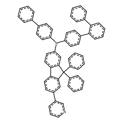 c1ccc(-c2ccc(N(c3ccc(-c4ccccc4-c4ccccc4)cc3)c3ccc4c(c3)C(c3ccccc3)(c3ccccc3)c3cc(-c5cccnc5)ccc3-4)cc2)cc1